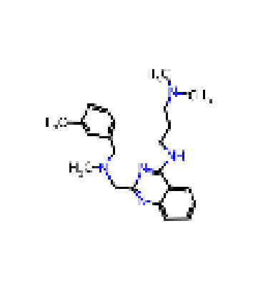 CN(C)CCCNc1nc(CN(C)Cc2cccc(C(F)(F)F)c2)nc2ccccc12